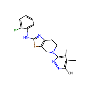 Cc1c(C#N)nnc(N2CCc3nc(Nc4ccccc4F)sc3C2)c1C